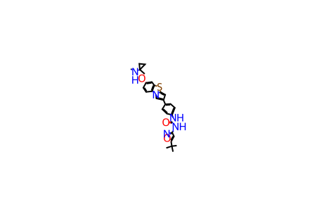 CNC1(COc2ccc3c(c2)sc2cc(-c4ccc(NC(=O)Nc5cc(C(C)(C)C)on5)cc4)cn23)CC1